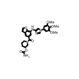 COc1cc(-n2cnc(Nc3cc(C(=O)N4CCC[C@@H](OC(N)=O)C4)cc4ccoc34)c2)cc(OC)c1OC